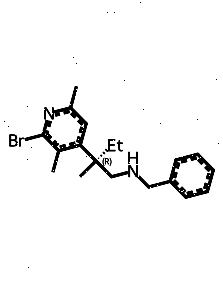 CC[C@@](C)(CNCc1ccccc1)c1cc(C)nc(Br)c1C